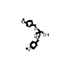 COc1ccc(COCC(CO)(CO)COCc2ccc(OC)cc2)cc1